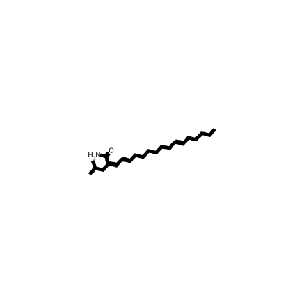 CCCCCC=CCCCCCCC=CC=C(CC(C)C)C(N)=O